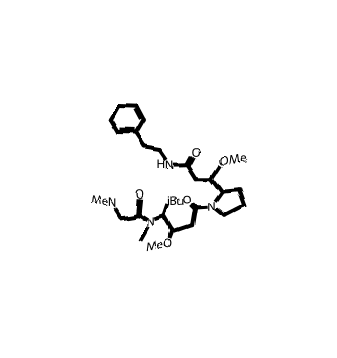 CCC(C)C(C(CC(=O)N1CCCC1C(CC(=O)NCCC1=CCCC=C1)OC)OC)N(C)C(=O)CNC